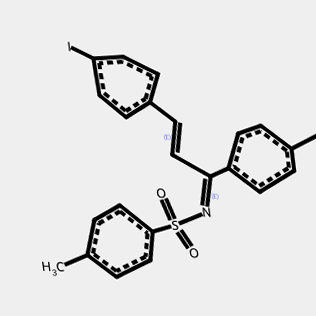 Cc1ccc(S(=O)(=O)/N=C(\C=C\c2ccc(I)cc2)c2ccc(F)cc2)cc1